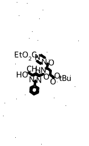 CCOC(=O)N1CCN(C(=O)C(CCC(=O)OC(C)(C)C)NC(=O)c2cc(C(C)O)nc(-c3ccccc3)n2)CC1